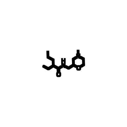 CCCC(CC)C(=O)NCC1CN(C)CCO1